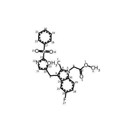 COC(=O)Cn1c(C)c(Cc2cnc(S(=O)(=O)c3ccccc3)o2)c2cc(F)ccc21